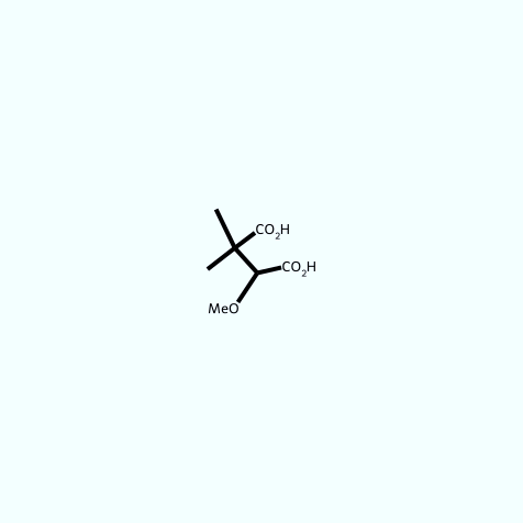 COC(C(=O)O)C(C)(C)C(=O)O